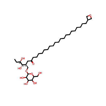 CC[C@@H](O)[C@@H](O)[C@H](COC1OC(CO)C(O)C(O)C1O)CC(=O)CCCCCCCCCCCCCCCCCCCCC1COC1